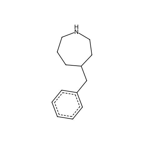 c1ccc(CC2CCCNCC2)cc1